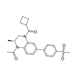 CC(=O)N1c2ccc(-c3ccc(S(C)(=O)=O)cc3)cc2N(C(=O)C2CCC2)C[C@@H]1C